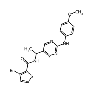 COc1ccc(Nc2ncc(C(C)NC(=O)c3sccc3Br)nn2)cc1